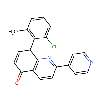 Cc1cccc(Cl)c1C1C=CC(=O)c2ccc(-c3ccncc3)nc21